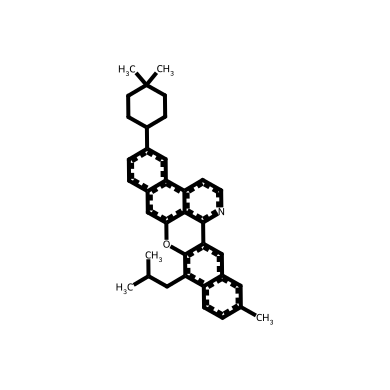 Cc1ccc2c(CC(C)C)c3c(cc2c1)-c1nccc2c1c(cc1ccc(C4CCC(C)(C)CC4)cc12)O3